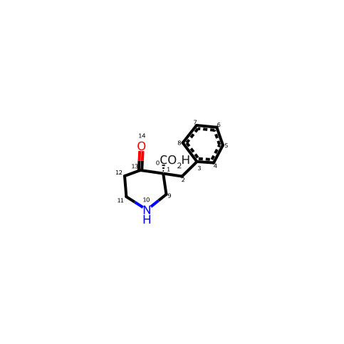 O=C(O)[C@]1(Cc2ccccc2)CNCCC1=O